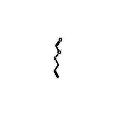 C=CCSOC=O